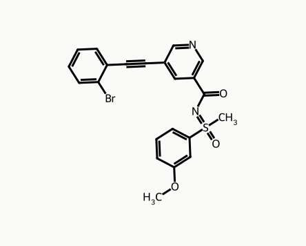 COc1cccc(S(C)(=O)=NC(=O)c2cncc(C#Cc3ccccc3Br)c2)c1